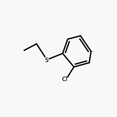 CCSc1cc[c]cc1Cl